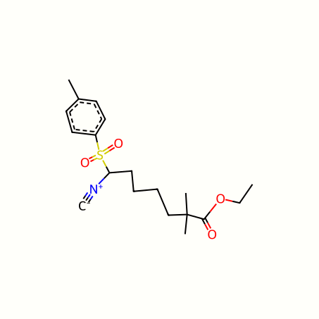 [C-]#[N+]C(CCCCC(C)(C)C(=O)OCC)S(=O)(=O)c1ccc(C)cc1